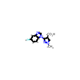 Cn1cc(C(=O)O)c(-n2cnc3cc(F)ccc32)n1